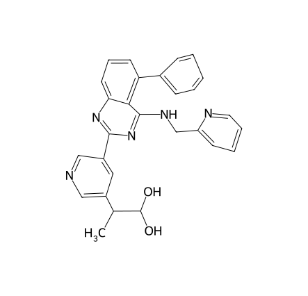 CC(c1cncc(-c2nc(NCc3ccccn3)c3c(-c4ccccc4)cccc3n2)c1)C(O)O